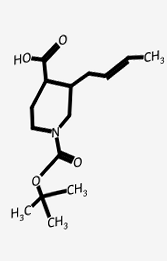 C/C=C/CC1CN(C(=O)OC(C)(C)C)CCC1C(=O)O